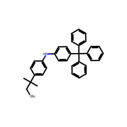 CC(C)(C)CC(C)(C)c1ccc(Nc2ccc(C(c3ccccc3)(c3ccccc3)c3ccccc3)cc2)cc1